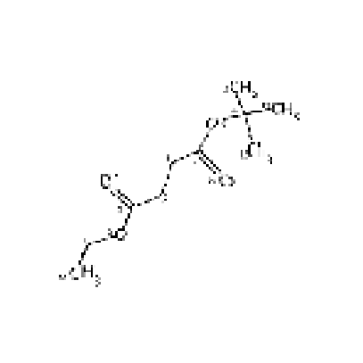 CCOC(=O)[CH]CC(=O)OC(C)(C)C